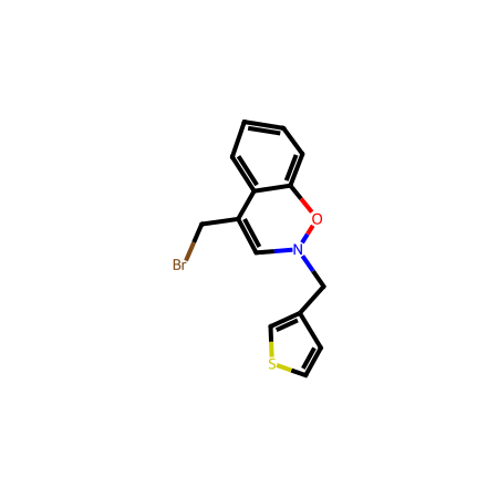 BrCC1=CN(Cc2ccsc2)Oc2ccccc21